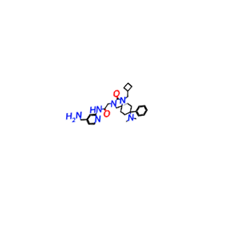 CN(C)[C@]1(c2ccccc2)CC[C@]2(CC1)CN(CC(=O)Nc1cc(CN)ccn1)C(=O)N2CC1CCC1